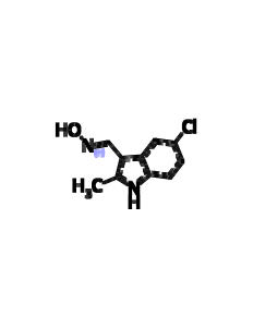 Cc1[nH]c2ccc(Cl)cc2c1/C=N/O